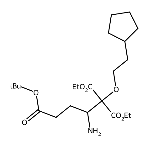 CCOC(=O)C(OCCC1CCCC1)(C(=O)OCC)C(N)CCC(=O)OC(C)(C)C